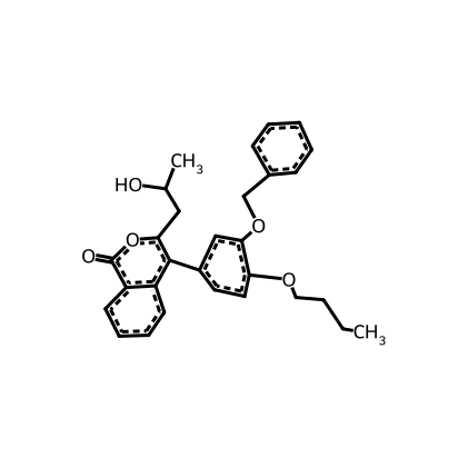 CCCCOc1ccc(-c2c(CC(C)O)oc(=O)c3ccccc23)cc1OCc1ccccc1